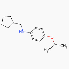 CC(C)Oc1ccc(NCC2CCCC2)cc1